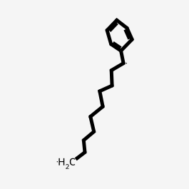 [CH2]CCCCCCCC[CH]c1ccccc1